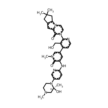 CN1CCN(c2ccc(Nc3cc(-c4ccnc(-n5ccn6c7c(cc6c5=O)CC(C)(C)C7)c4CO)cn(C)c3=O)nc2)[C@@](C)(O)C1